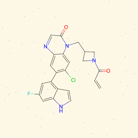 C=CC(=O)N1CC(Cn2c(=O)cnc3cc(-c4cc(F)cc5[nH]ccc45)c(Cl)cc32)C1